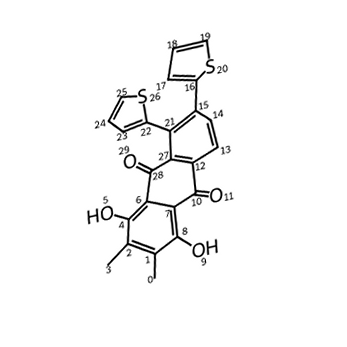 Cc1c(C)c(O)c2c(c1O)C(=O)c1ccc(-c3cccs3)c(-c3cccs3)c1C2=O